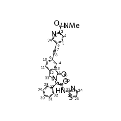 CNC(=O)c1ccc(C#Cc2ccc3c(c2)C(=O)N([C@@H](C(=O)Nc2nccs2)c2ccccc2)C3)cn1